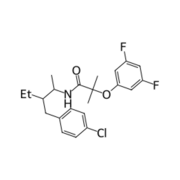 CCC(Cc1ccc(Cl)cc1)C(C)NC(=O)C(C)(C)Oc1cc(F)cc(F)c1